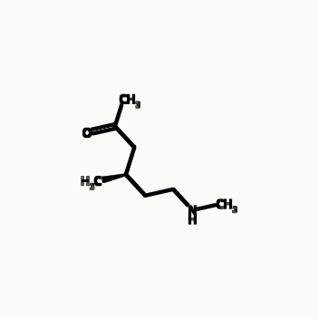 CNCC[C@@H](C)CC(C)=O